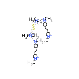 CC[n+]1ccc(/C=C/c2ccc(N(C)CCC[N+](C)(C)CCCSSCC[N+](C)(C)CCCN(C)c3ccc(/C=C/c4cc[n+](CC)cc4)cc3)cc2)cc1